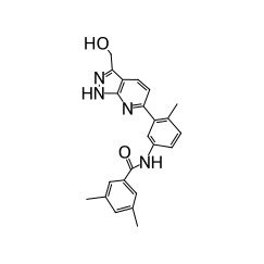 Cc1cc(C)cc(C(=O)Nc2ccc(C)c(-c3ccc4c(CO)n[nH]c4n3)c2)c1